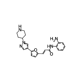 Nc1ccccc1NC(=O)C=Cc1ccc(-c2cnn(C3CCNCC3)c2)o1